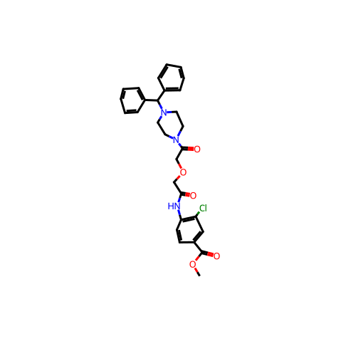 COC(=O)c1ccc(NC(=O)COCC(=O)N2CCN(C(c3ccccc3)c3ccccc3)CC2)c(Cl)c1